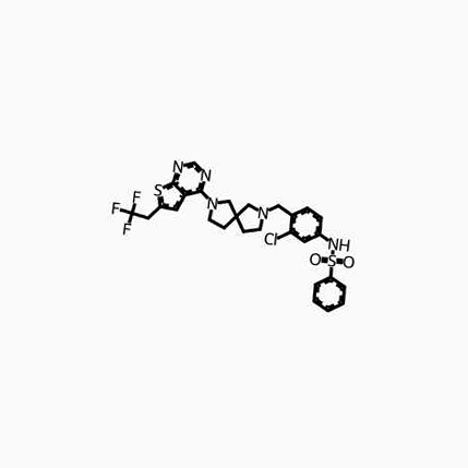 O=S(=O)(Nc1ccc(CN2CCC3(CCN(c4ncnc5sc(CC(F)(F)F)cc45)C3)C2)c(Cl)c1)c1ccccc1